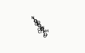 C[C@H](Nc1cnn(C2CCN(S(=O)(=O)c3ccc(C#N)cc3)CC2)c(=O)c1Cl)[C@@H]1CCCOC1